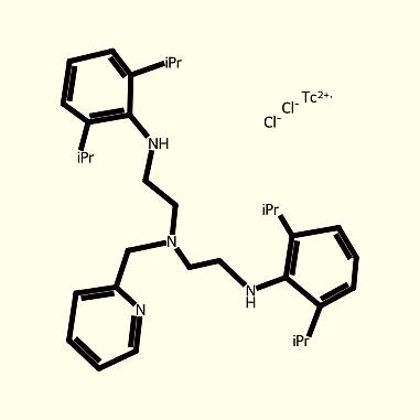 CC(C)c1cccc(C(C)C)c1NCCN(CCNc1c(C(C)C)cccc1C(C)C)Cc1ccccn1.[Cl-].[Cl-].[Tc+2]